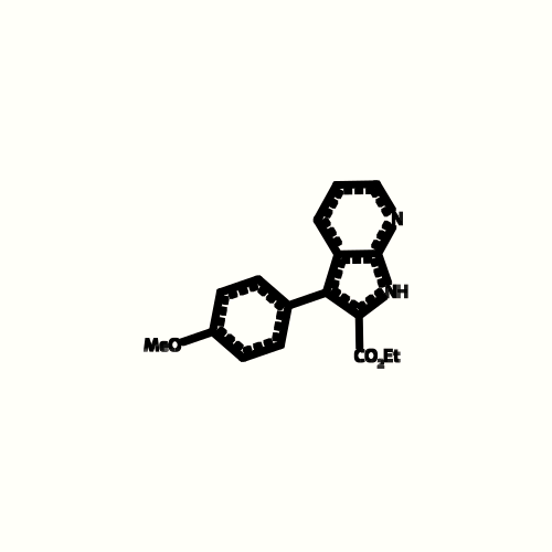 CCOC(=O)c1[nH]c2ncccc2c1-c1ccc(OC)cc1